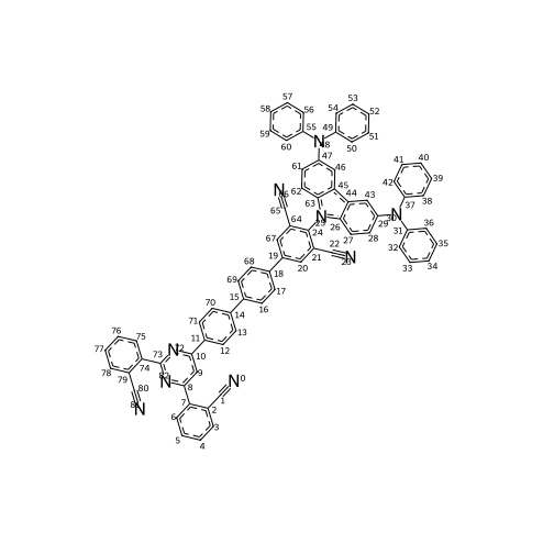 N#Cc1ccccc1-c1cc(-c2ccc(-c3ccc(-c4cc(C#N)c(-n5c6ccc(N(c7ccccc7)c7ccccc7)cc6c6cc(N(c7ccccc7)c7ccccc7)ccc65)c(C#N)c4)cc3)cc2)nc(-c2ccccc2C#N)n1